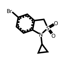 O=S1(=O)Cc2cc(Br)ccc2N1C1CC1